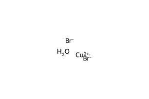 O.[Br-].[Br-].[Cu+2]